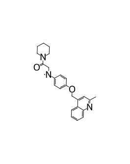 Cc1cc(COc2ccc([N]CC(=O)N3CCCCC3)cc2)c2ccccc2n1